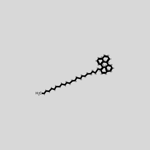 CCCCCCCCCCCCCCCCCCCCCCCc1ccc2cccc3c4cccc5cccc(c1c23)c54